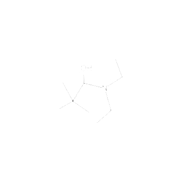 CCN(CC)C(O)C(C)(C)C